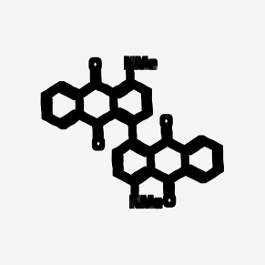 CNc1ccc(-c2ccc(NC)c3c2C(=O)c2ccccc2C3=O)c2c1C(=O)c1ccccc1C2=O